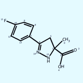 CC1(C(=O)O)CC(c2ccc(F)cc2)=NN1